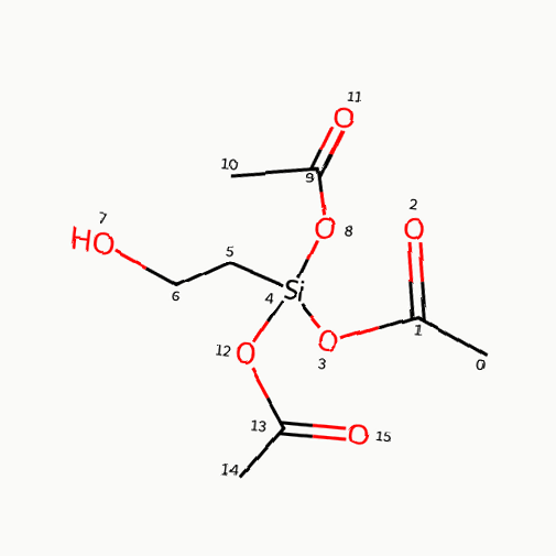 CC(=O)O[Si](CCO)(OC(C)=O)OC(C)=O